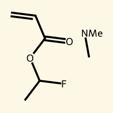 C=CC(=O)OC(C)F.CNC